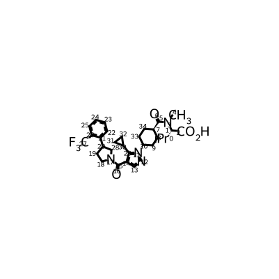 CC(C)[C@@H](C(=O)O)N(C)C(=O)[C@H]1CC[C@H](n2ncc(C(=O)N3CCC(c4ccccc4C(F)(F)F)C3)c2C2CC2)CC1